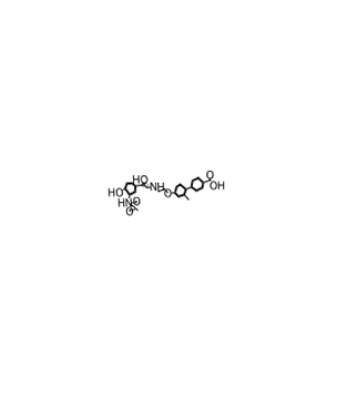 Cc1cc(OCCNC[C@H](O)c2ccc(O)c(NS(C)(=O)=O)c2)ccc1-c1ccc(C(=O)O)cc1